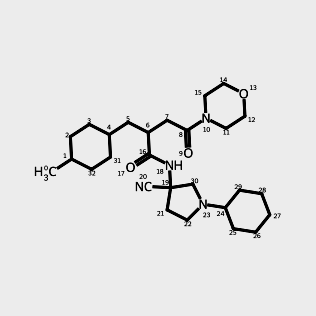 CC1CCC(CC(CC(=O)N2CCOCC2)C(=O)NC2(C#N)CCN(C3CCCCC3)C2)CC1